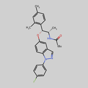 Cc1ccc([C@@H](Oc2ccc3c(cnn3-c3ccc(F)cc3)c2)[C@H](C)NC(=O)C(C)(C)C)c(C)c1